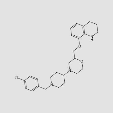 Clc1ccc(CN2CCC(N3CCOC(COc4cccc5c4NCCC5)C3)CC2)cc1